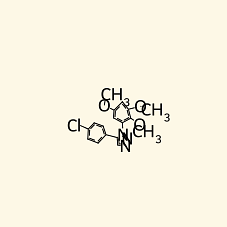 COc1cc(OC)c(OC)c(-n2nncc2-c2ccc(Cl)cc2)c1